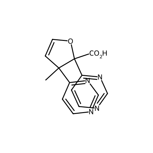 CC1(c2ccncn2)C=COC1(C(=O)O)c1ccncn1